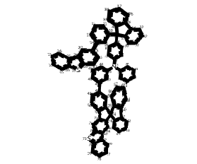 c1ccc(N(c2ccc(C3(c4cccc(-c5ccc6sc7ccccc7c6c5)c4)c4ccccc4-c4ccccc43)cc2)c2cccc(-c3ccc4c(c3)C3(c5ccccc5-c5ccccc53)c3cc5c(cc3-4)sc3ccccc35)c2)cc1